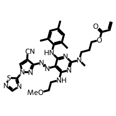 C=CC(=O)OCCCN(C)c1nc(NCCOC)c(N=Nc2nn(-c3ncns3)cc2C#N)c(Nc2c(C)cc(C)cc2C)n1